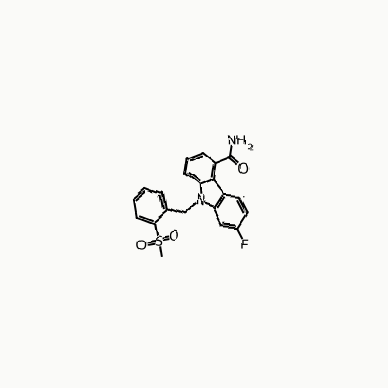 CS(=O)(=O)c1ccccc1Cn1c2cc(F)c[c]c2c2c(C(N)=O)cccc21